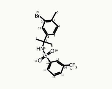 Cc1ccc(C(C)(C)NS(=O)(=O)c2cccc(C(F)(F)F)c2)cc1Br